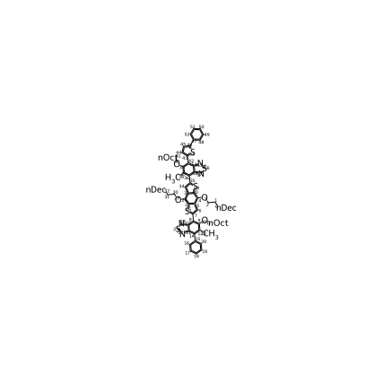 CCCCCCCCCCCCOc1c2cc(-c3c(OCCCCCCCC)c(C)c(-c4ccccc4)c4nsnc34)sc2c(OCCCCCCCCCCCC)c2cc(-c3c(C)c(OCCCCCCCC)c(-c4ccc(-c5ccccc5)s4)c4nsnc34)sc12